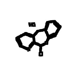 Cl.ClC1Oc2ccccc2Cc2cccnc21